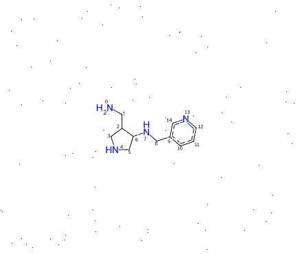 NCC1CNCC1NCc1cccnc1